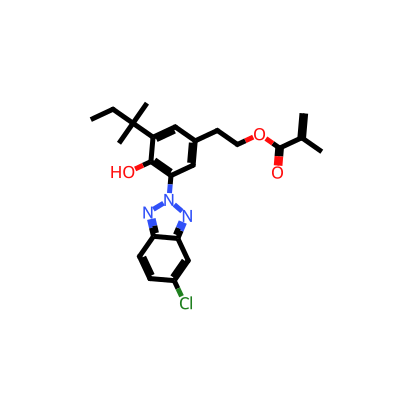 C=C(C)C(=O)OCCc1cc(-n2nc3ccc(Cl)cc3n2)c(O)c(C(C)(C)CC)c1